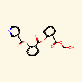 O=C(Oc1ccccc1C(=O)Oc1ccccc1C(=O)OCO)c1cccnc1